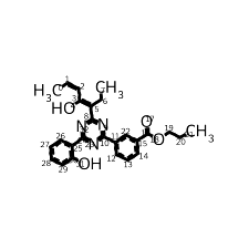 C/C=C\C(O)=C(/CC)c1nc(-c2cccc(C(=O)OCCC)c2)nc(-c2ccccc2O)n1